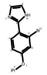 CC(C)Oc1ccc(-c2ncc[nH]2)c(Br)c1